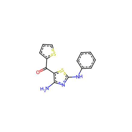 Nc1nc(Nc2ccccc2)sc1C(=O)c1cccs1